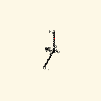 CCCCCCCCCCCCCCCC(=O)OCCC(O)C(C)(N)CCOC(=O)CCCCCCCCCCCCCCC.COS(=O)(=O)O